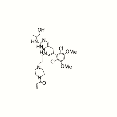 C=CC(=O)N1CCN(CCCN2C=C(c3c(Cl)c(OC)cc(OC)c3Cl)CC3=CN=C(NC(C)CO)N[C@H]32)CC1